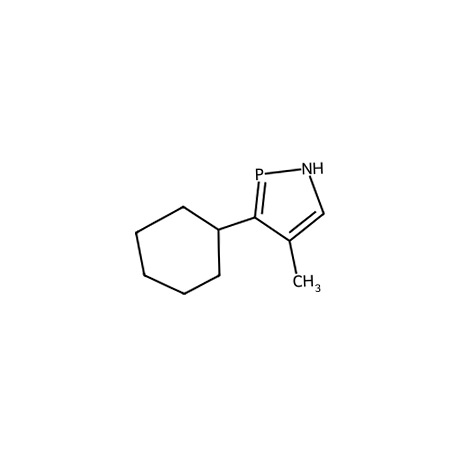 Cc1c[nH]pc1C1CCCCC1